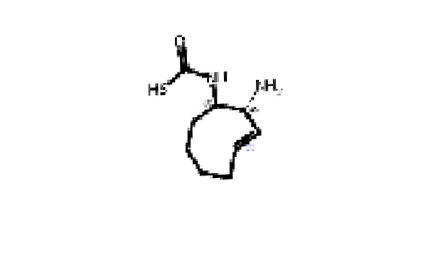 N[C@@H]1/C=C/CCCC[C@H]1NC(=O)S